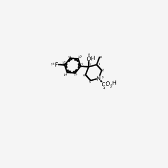 CC1CN(C(=O)O)CCC1(O)c1ccc(F)cc1